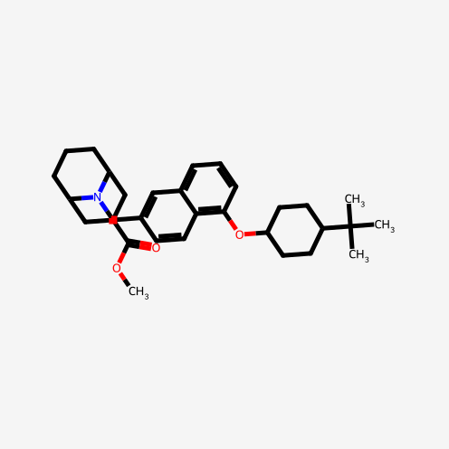 COC(=O)C1CC2CCCC(C1)N2Cc1ccc2c(OC3CCC(C(C)(C)C)CC3)cccc2c1